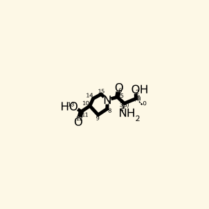 C[C@@H](O)[C@H](N)C(=O)N1CCC(C(=O)O)CC1